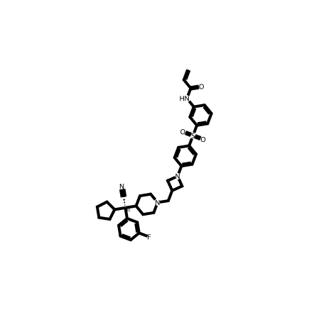 C=CC(=O)Nc1cccc(S(=O)(=O)c2ccc(N3CC(CN4CCC([C@@](C#N)(c5cccc(F)c5)C5CCCC5)CC4)C3)cc2)c1